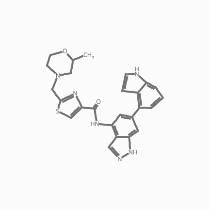 CC1CN(Cc2nc(C(=O)Nc3cc(-c4cccc5[nH]ccc45)cc4[nH]ncc34)cs2)CCO1